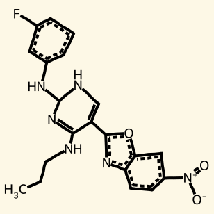 CCCNC1=NC(Nc2cccc(F)c2)NC=C1c1nc2ccc([N+](=O)[O-])cc2o1